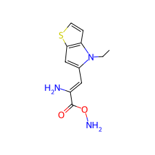 CCn1c(C=C(N)C(=O)ON)cc2sccc21